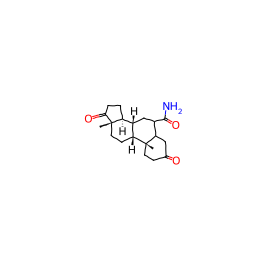 C[C@]12CCC(=O)CC1C(C(N)=O)C[C@@H]1[C@H]2CC[C@]2(C)C(=O)CC[C@@H]12